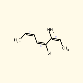 C\C=C/C=C(S)\C(N)=C/C